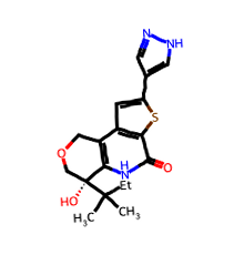 CCC(C)(C)[C@@]1(O)COCc2c1[nH]c(=O)c1sc(-c3cn[nH]c3)cc21